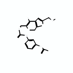 C=C(/N=C\C1=C(N)c2cc(CNC)sc2CS1)Nc1cccc(NC(C)=O)c1